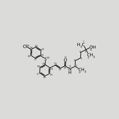 CC(CCCC(C)(C)O)NC(=O)/C=C/c1ccccc1Sc1ccc(Cl)cc1